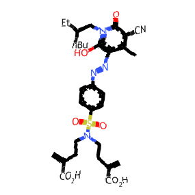 C=C(CCN(CCC(=C)C(=O)O)S(=O)(=O)c1ccc(N=Nc2c(C)c(C#N)c(=O)n(CC(CC)CCCC)c2O)cc1)C(=O)O